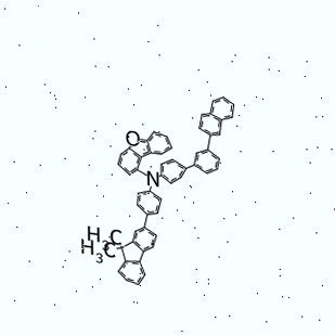 CC1(C)c2ccccc2-c2ccc(-c3ccc(N(c4ccc(-c5cccc(-c6ccc7ccccc7c6)c5)cc4)c4cccc5oc6ccccc6c45)cc3)cc21